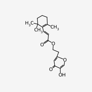 CC1=C(/C=C/C(=O)OCCc2cc(=O)c(O)co2)C(C)(C)CCC1